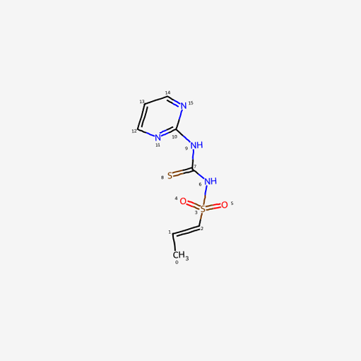 CC=CS(=O)(=O)NC(=S)Nc1ncccn1